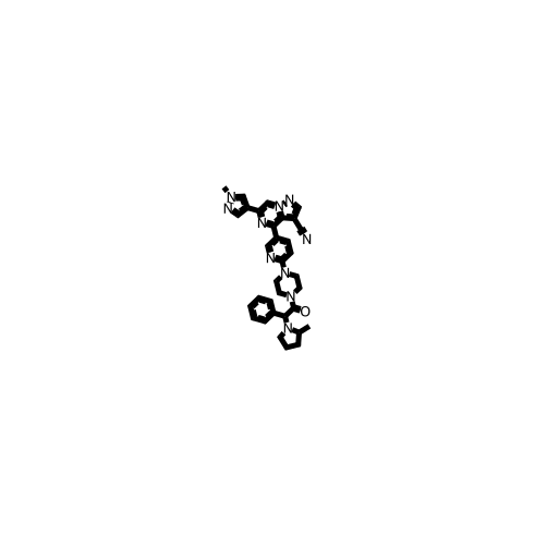 CC1CCCN1C(C(=O)N1CCN(c2ccc(-c3nc(-c4cnn(C)c4)cn4ncc(C#N)c34)cn2)CC1)c1ccccc1